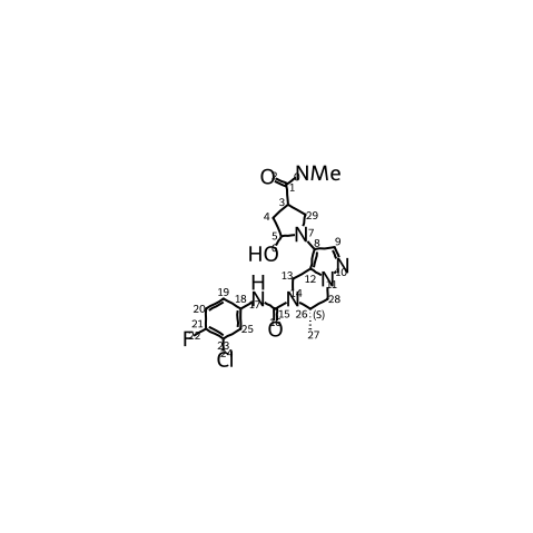 CNC(=O)C1CC(O)N(c2cnn3c2CN(C(=O)Nc2ccc(F)c(Cl)c2)[C@@H](C)C3)C1